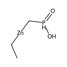 C[CH2][Zn][CH2][PH](=O)O